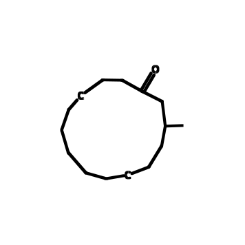 CC1CCCCCCCCCCCC(=O)C1